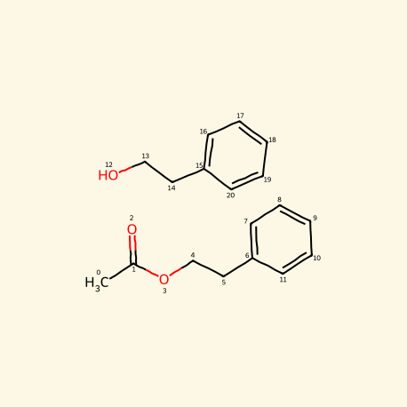 CC(=O)OCCc1ccccc1.OCCc1ccccc1